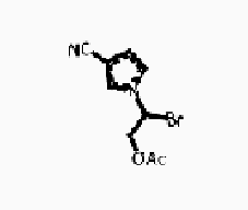 CC(=O)OCC(Br)n1ccc(C#N)c1